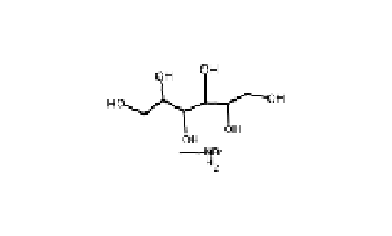 Br.CN.OCC(O)C(O)C(O)C(O)CO